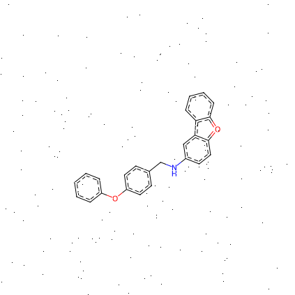 c1ccc(Oc2ccc(CNc3ccc4oc5ccccc5c4c3)cc2)cc1